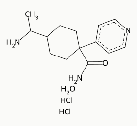 CC(N)C1CCC(C(N)=O)(c2ccncc2)CC1.Cl.Cl.O